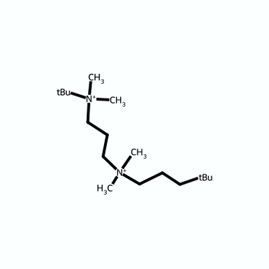 CC(C)(C)CCC[N+](C)(C)CCC[N+](C)(C)C(C)(C)C